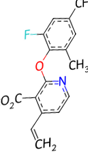 C=Cc1ccnc(Oc2c(C)cc(C)cc2F)c1C(=O)OCC